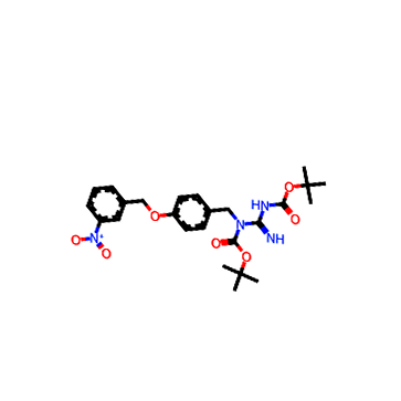 CC(C)(C)OC(=O)NC(=N)N(Cc1ccc(OCc2cccc([N+](=O)[O-])c2)cc1)C(=O)OC(C)(C)C